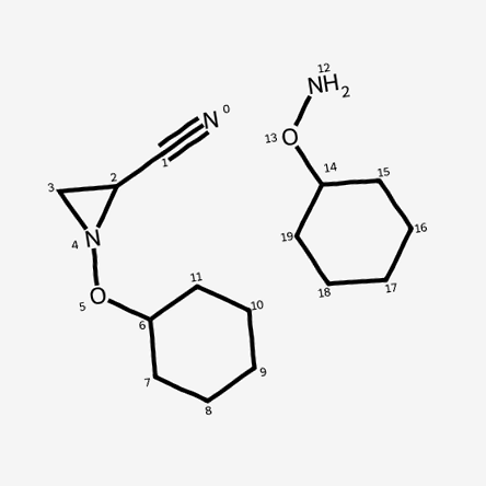 N#CC1CN1OC1CCCCC1.NOC1CCCCC1